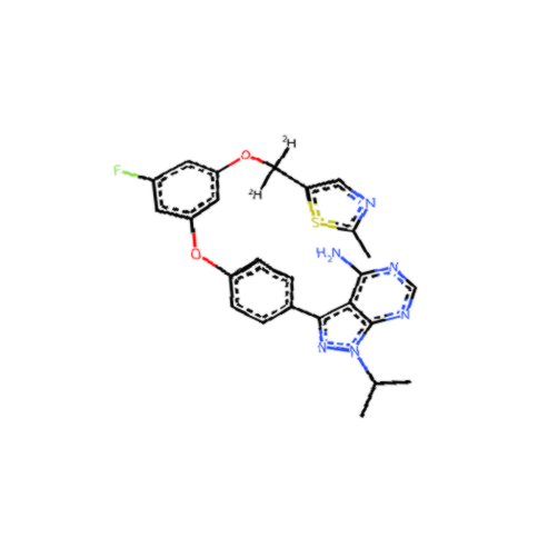 [2H]C([2H])(Oc1cc(F)cc(Oc2ccc(-c3nn(C(C)C)c4ncnc(N)c34)cc2)c1)c1cnc(C)s1